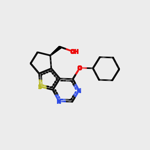 OC[C@@H]1CCc2sc3ncnc(OC4CCCCC4)c3c21